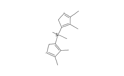 CC1=[C]CC([Si](C)(C)C2=C(C)C(C)=[C]C2)=C1C